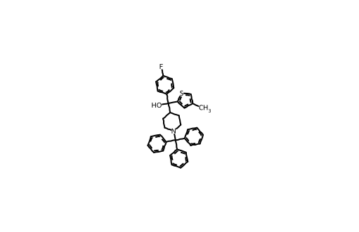 Cc1csc(C(O)(c2ccc(F)cc2)C2CCN(C(c3ccccc3)(c3ccccc3)c3ccccc3)CC2)c1